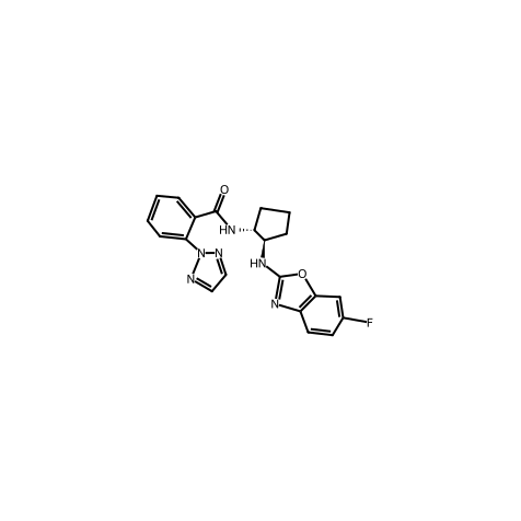 O=C(N[C@@H]1CCC[C@H]1Nc1nc2ccc(F)cc2o1)c1ccccc1-n1nccn1